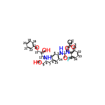 O=C(Nc1ccc(C[C@@H](CO)NC[C@H](O)COc2ccccc2)cc1)N(OC(=O)C(F)(F)F)c1ccccc1F